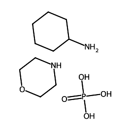 C1COCCN1.NC1CCCCC1.O=P(O)(O)O